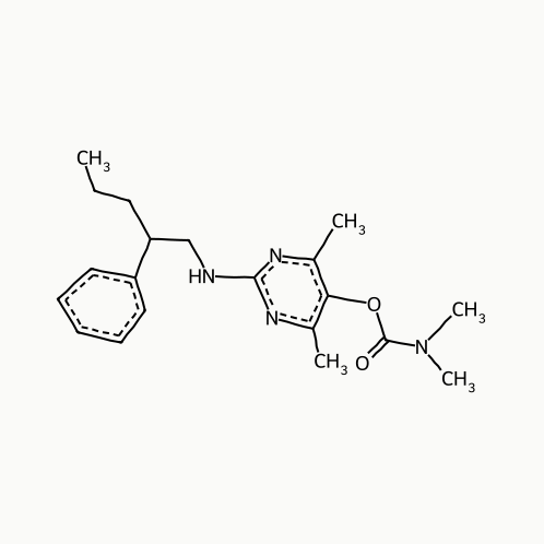 CCCC(CNc1nc(C)c(OC(=O)N(C)C)c(C)n1)c1ccccc1